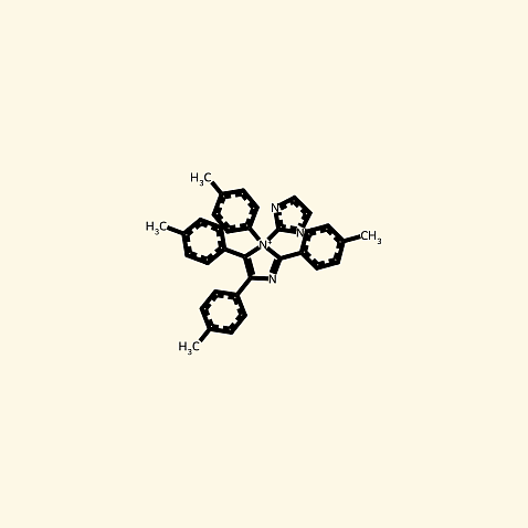 Cc1ccc(C2=NC(c3ccc(C)cc3)=C(c3ccc(C)cc3)[N+]2(c2ccc(C)cc2)c2ncc[nH]2)cc1